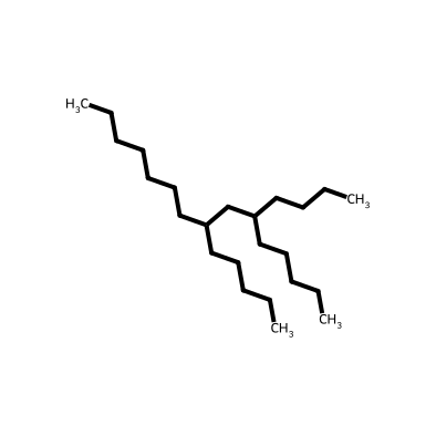 CCCCCCCC(CCCCC)CC(CCCC)CCCCC